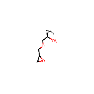 [CH2]C(O)COCC1CO1